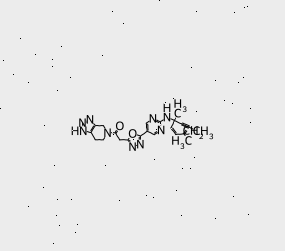 C=C(C)/C=C\C(C)(C#CC)Nc1ncc(-c2nnc(CC(=O)N3CCc4[nH]nnc4C3)o2)cn1